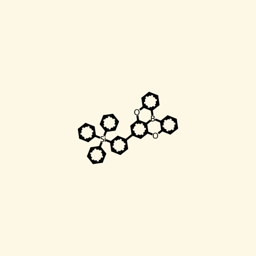 c1ccc([Si](c2ccccc2)(c2ccccc2)c2cccc(-c3cc4c5c(c3)Oc3ccccc3B5c3ccccc3O4)c2)cc1